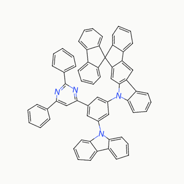 c1ccc(-c2cc(-c3cc(-n4c5ccccc5c5ccccc54)cc(-n4c5ccccc5c5cc6c(cc54)C4(c5ccccc5-c5ccccc54)c4ccccc4-6)c3)nc(-c3ccccc3)n2)cc1